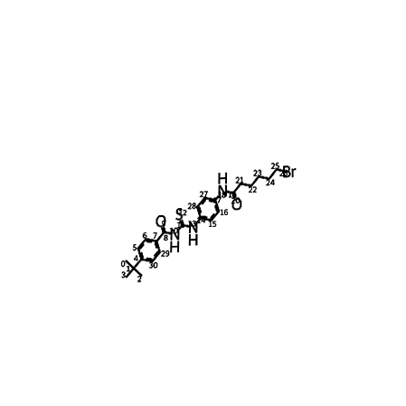 CC(C)(C)c1ccc(C(=O)NC(=S)Nc2ccc(NC(=O)CCCCCBr)cc2)cc1